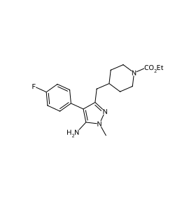 CCOC(=O)N1CCC(Cc2nn(C)c(N)c2-c2ccc(F)cc2)CC1